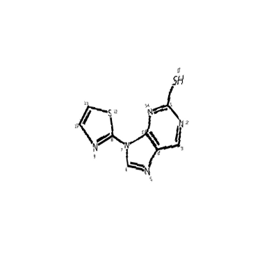 Sc1ncc2ncn(-c3nccs3)c2n1